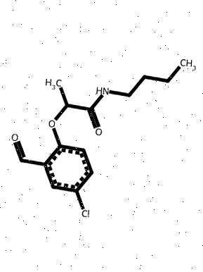 CCCCNC(=O)C(C)Oc1ccc(Cl)cc1C=O